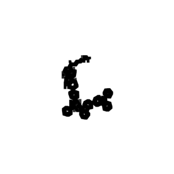 CC(C)CCC[C@@H](C)[C@H]1CC[C@H]2[C@@H]3CC[C@H]4CC(c5ccc(-c6nc(-c7ccccc7)nc(-n7c8ccccc8c8cc(-c9ccc%10c(c9)c9ccccc9n%10-c9ccccc9)ccc87)n6)cc5)CC[C@]4(C)[C@H]3CC[C@]12C